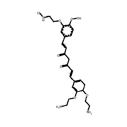 NCCOC1=CC(/C=C/C(=O)CC(=O)/C=C/c2ccc(OO)c(OCCNCl)c2)=CCC1OCCN